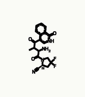 CC(C(=O)c1c[nH]c(=O)c2ccccc12)C(N)C(=O)N1CC(F)(F)C[C@H]1C#N